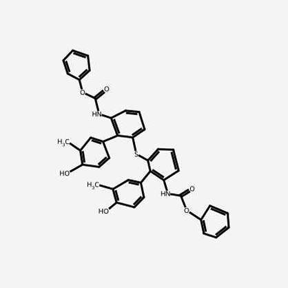 Cc1cc(-c2c(NC(=O)Oc3ccccc3)cccc2Sc2cccc(NC(=O)Oc3ccccc3)c2-c2ccc(O)c(C)c2)ccc1O